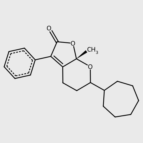 C[C@]12OC(=O)C(c3ccccc3)=C1CCC(C1CCCCCC1)O2